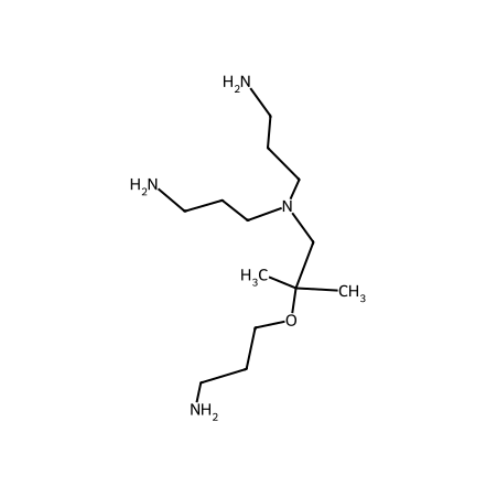 CC(C)(CN(CCCN)CCCN)OCCCN